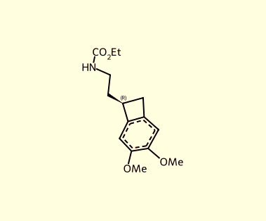 CCOC(=O)NCC[C@H]1Cc2cc(OC)c(OC)cc21